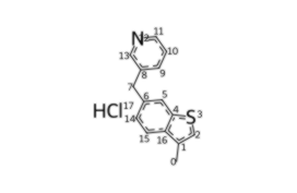 Cc1csc2cc(Cc3cccnc3)ccc12.Cl